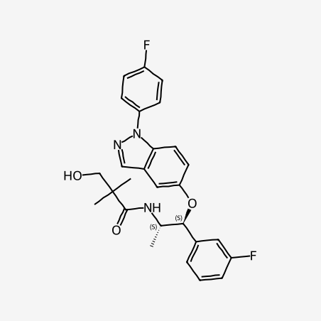 C[C@H](NC(=O)C(C)(C)CO)[C@@H](Oc1ccc2c(cnn2-c2ccc(F)cc2)c1)c1cccc(F)c1